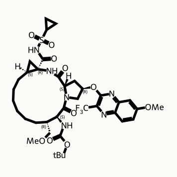 COC[C@@H]1CCCCCC[C@H]2C[C@@]2(C(=O)NS(=O)(=O)C2CC2)NC(=O)[C@@H]2C[C@@H](Oc3nc4cc(OC)ccc4nc3C(F)(F)F)CN2C(=O)[C@H]1NC(=O)OC(C)(C)C